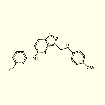 COc1ccc(NCc2nnc3ccc(Nc4cccc(Cl)c4)nn23)cc1